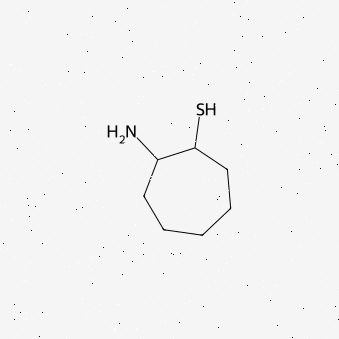 NC1CCCCCC1S